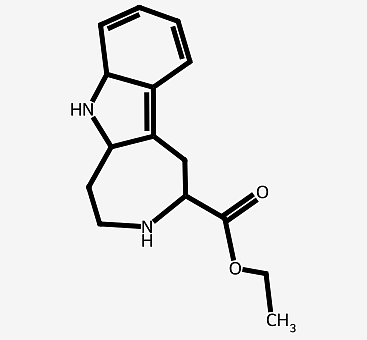 CCOC(=O)C1CC2=C3C=CC=CC3NC2CCN1